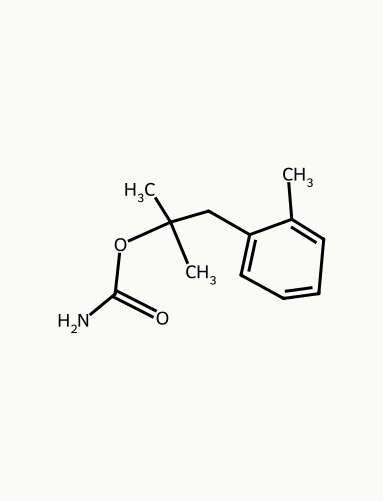 Cc1ccccc1CC(C)(C)OC(N)=O